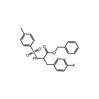 Cc1ccc(S(=O)(=O)NC(Cc2ccc(F)cc2)C(=O)OCc2ccccc2)cc1